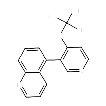 CC(C)(C)Sc1ccncc1-c1cccc2ncccc12